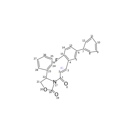 O=C(/C=C/c1cc(-c2ccccc2)ccc1F)N1C(=O)OCC1c1ccccc1